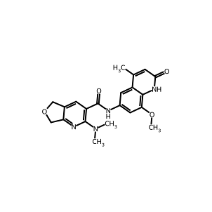 COc1cc(NC(=O)c2cc3c(nc2N(C)C)COC3)cc2c(C)cc(=O)[nH]c12